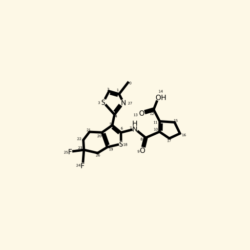 Cc1csc(-c2c(NC(=O)C3=C(C(=O)O)CCC3)sc3c2CCC(F)(F)C3)n1